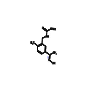 COC(=O)NCc1cc(/C(C)=N/O)ccc1C